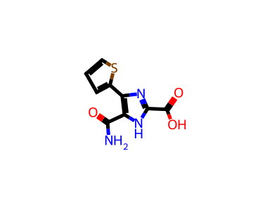 NC(=O)c1[nH]c(C(=O)O)nc1-c1cccs1